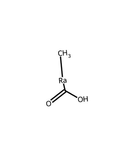 [CH3][Ra][C](=O)O